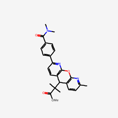 COC(=O)C(C)(C)C1c2ccc(C)nc2Oc2nc(-c3ccc(C(=O)N(C)C)cc3)ccc21